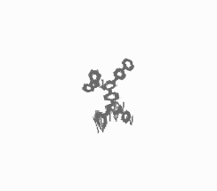 C1=CC(c2ccc(C3=CC(n4c5ccccc5c5ccccc54)=CC(C4=CCC(c5cc(-c6ccncc6)nc(-c6ccncc6)n5)C=C4)C3)cc2)=CCC1